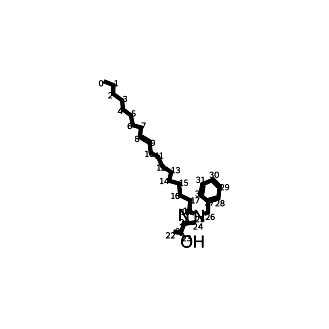 CCCCCCCCC=CCCCCCCCCC1=NC(C(C)O)CN1Cc1ccccc1